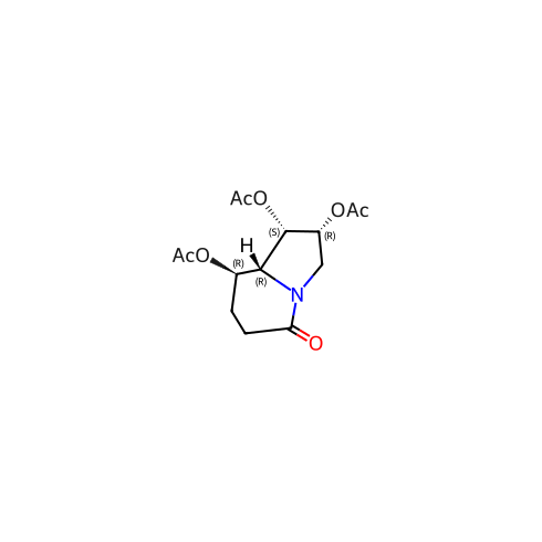 CC(=O)O[C@H]1[C@H]2[C@H](OC(C)=O)CCC(=O)N2C[C@H]1OC(C)=O